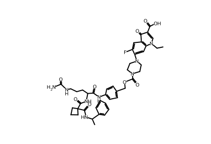 CCn1cc(C(=O)O)c(=O)c2cc(F)c(N3CCN(C(=O)OCc4ccc(NC(=O)C(CCCNC(N)=O)NC(=O)C5(C(=O)NC(C)c6ccccc6)CCC5)cc4)CC3)cc21